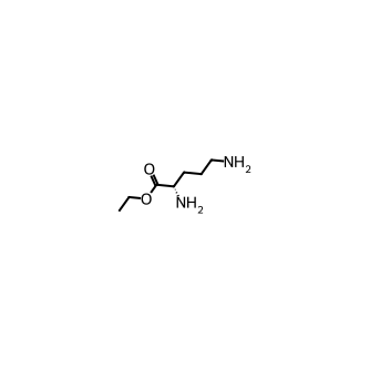 CCOC(=O)[C@@H](N)CCCN